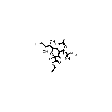 CCOC(=O)[C@]1(F)OC([C@H](O)[C@H](O)CO)[C@H](NC(C)=O)C(NC(=N)N)C1F